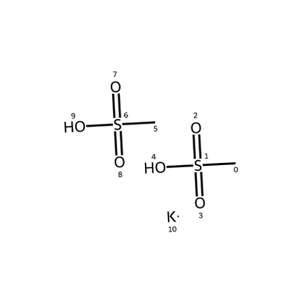 CS(=O)(=O)O.CS(=O)(=O)O.[K]